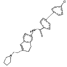 O=C(Nc1ccc2c(c1)CCC(CCN1CCCC1)=C2)c1ccc(-c2ccc(Cl)cc2)cc1